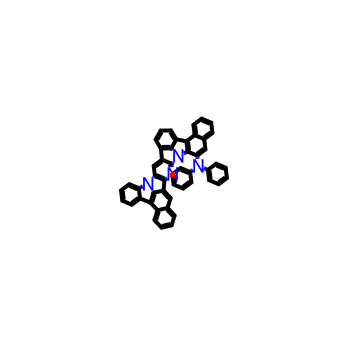 c1ccc(N(c2ccccc2)c2cc3ccccc3c3c4cccc5c6cc7c(nc6n(c23)c54)c2cc3ccccc3c3c4ccccc4n7c23)cc1